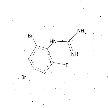 N=C(N)Nc1c(F)cc(Br)cc1Br